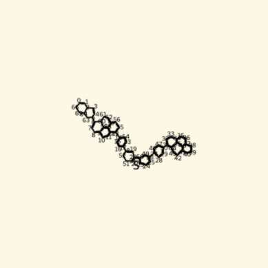 C1=CC2C=CC(C3=CC=c4ccc5c(-c6ccc(C7=Cc8c(sc9ccc(-c%10ccc(-c%11ccc%12ccc%13cccc%14ccc%11c%12c%13%14)cc%10)cc89)CC7)cc6)ccc6c5c4C3CC=6)CC2CC1